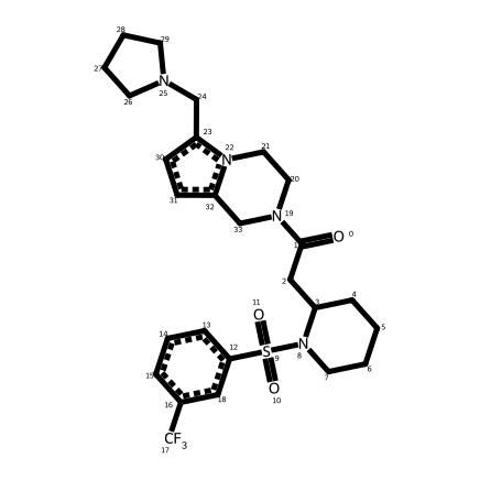 O=C(CC1CCCCN1S(=O)(=O)c1cccc(C(F)(F)F)c1)N1CCn2c(CN3CCCC3)ccc2C1